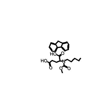 CCCCCN(C(=O)OC)C(CCC(=O)O)C(=O)O.c1ccc2c(c1)Cc1ccccc1-2